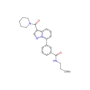 COCCNC(=O)c1cccc(-c2cccc3c(C(=O)N4CCCCC4)cnn23)c1